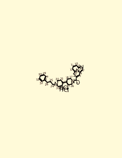 Cl.Cl.O=C(C1=Cc2cnc3cccc(n23)S1)N1CCC(C2CCN(CCCc3ccccc3)CC2)CC1